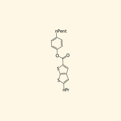 CCCCCc1ccc(OC(=O)c2cc3cc(CCC)sc3s2)cc1